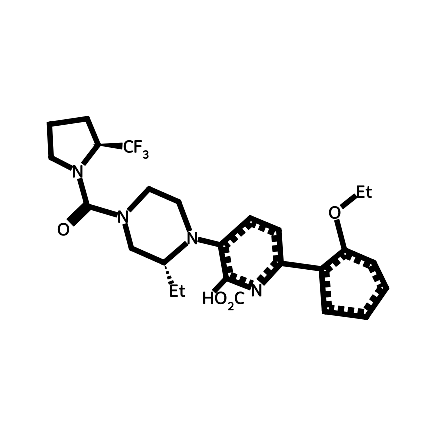 CCOc1ccccc1-c1ccc(N2CCN(C(=O)N3CCC[C@H]3C(F)(F)F)C[C@H]2CC)c(C(=O)O)n1